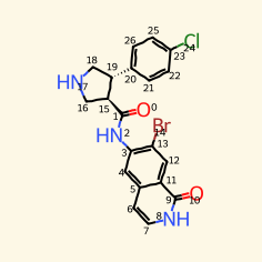 O=C(Nc1cc2cc[nH]c(=O)c2cc1Br)[C@H]1CNC[C@@H]1c1ccc(Cl)cc1